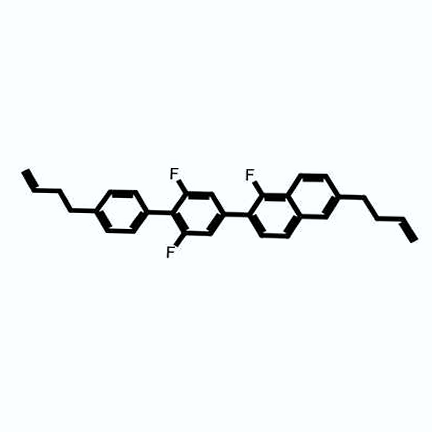 C=CCCc1ccc(-c2c(F)cc(-c3ccc4cc(CCC=C)ccc4c3F)cc2F)cc1